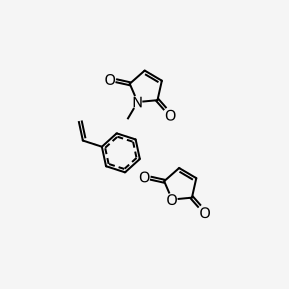 C=Cc1ccccc1.CN1C(=O)C=CC1=O.O=C1C=CC(=O)O1